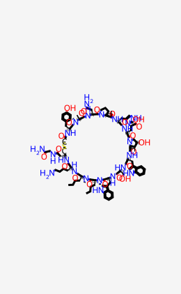 CCCC[C@H]1C(=O)N(C)[C@@H](CCCC)C(=O)N[C@@H](CCCCN)C(=O)N[C@H](CC(=O)NCC(N)=O)CSCC(=O)N[C@@H](Cc2ccc(O)cc2)C(=O)N(C)[C@@H](C)C(=O)N[C@@H](CC(N)=O)C(=O)N2CCC[C@H]2C(=O)N[C@@H](Cc2c[nH]cn2)C(=O)N[C@@H](CCC(=O)O)C(=O)N2C[C@H](O)C[C@H]2C(=O)N[C@@H](Cc2c[nH]c3ccccc23)C(=O)N[C@@H](CO)C(=O)N[C@@H](Cc2c[nH]c3ccccc23)C(=O)N1C